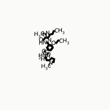 [2H]C([2H])(CC1CCCN1C)NS(=O)(=O)c1ccc(OCCC)c(-c2nc3c(CCC)nn(C)c3c(=O)[nH]2)c1